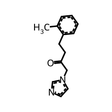 Cc1ccccc1CCC(=O)Cn1ccnc1